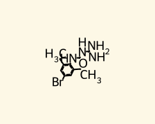 CCc1cc(Br)cc(CC)c1NC(=O)NC(=N)N